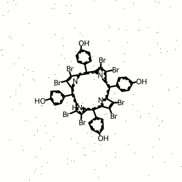 Oc1ccc(-c2c3nc(c(-c4ccc(O)cc4)c4[nH]c(c(Br)c4Br)c(-c4ccc(O)cc4)c4nc(c(-c5ccc(O)cc5)c5[nH]c2c(Br)c5Br)C(Br)=C4Br)C(Br)=C3Br)cc1